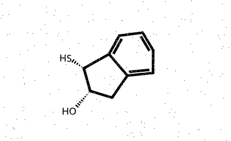 O[C@H]1Cc2ccccc2[C@H]1S